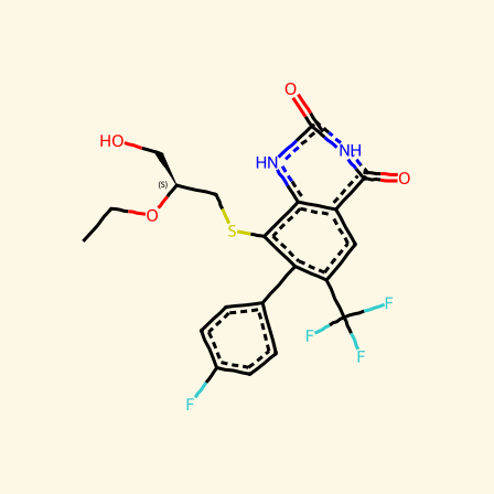 CCO[C@@H](CO)CSc1c(-c2ccc(F)cc2)c(C(F)(F)F)cc2c(=O)[nH]c(=O)[nH]c12